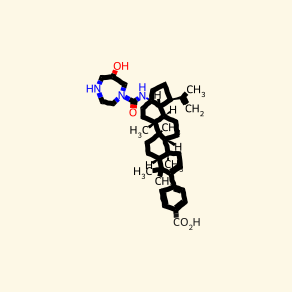 C=C(C)[C@@H]1CC[C@]2(NC(=O)N3CCNCC(O)C3)CC[C@]3(C)[C@H](CC[C@@H]4[C@@]5(C)CC=C(c6ccc(C(=O)O)cc6)C(C)(C)[C@@H]5CC[C@]43C)[C@@H]12